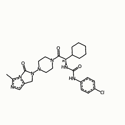 Cc1ncc2n1C(=O)N(N1CCN(C(=O)[C@H](NC(=O)Nc3ccc(Cl)cc3)C3CCCCC3)CC1)C2